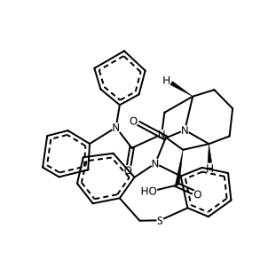 O=C(O)[C@@H]1[C@H]2CCC[C@@H](CN1C(=O)N(c1ccccc1)c1ccccc1)N2C(=O)N1c2ccccc2CSc2ccccc21